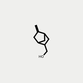 C=C1CC2CC1CC2CO